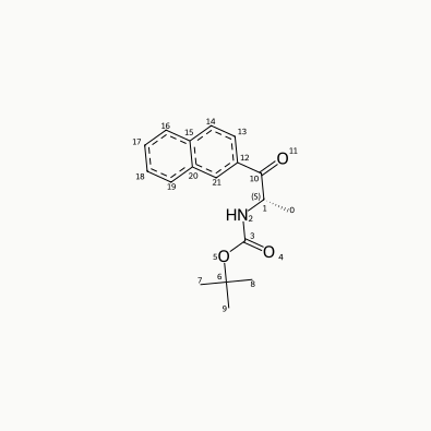 C[C@H](NC(=O)OC(C)(C)C)C(=O)c1ccc2ccccc2c1